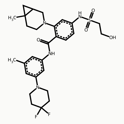 Cc1cc(NC(=O)c2ccc(NS(=O)(=O)CCO)cc2N2CCC3(C)CC3C2)cc(N2CCC(F)(F)CC2)c1